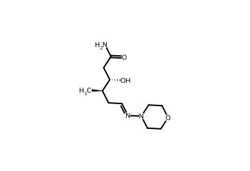 C[C@H](C/C=N/N1CCOCC1)[C@@H](O)CC(N)=O